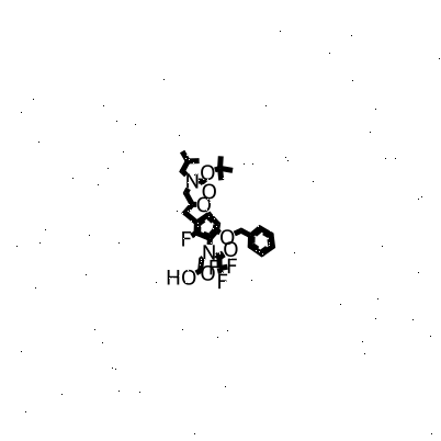 CC(C)CN(CC1Cc2c(cc(OCc3ccccc3)c(N(CC(=O)O)C(=O)C(F)(F)F)c2F)O1)C(=O)OC(C)(C)C